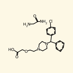 NCC(N)=O.O=C(O)COCCN1CCN(C(c2ccccc2)c2ccc(Cl)cc2)CC1